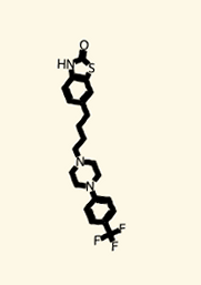 O=c1[nH]c2ccc(CCCCN3CCN(c4ccc(C(F)(F)F)cc4)CC3)cc2s1